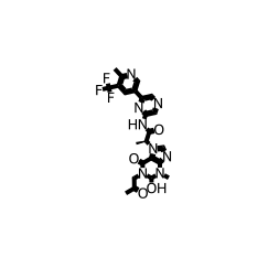 CC(=O)CN1C(=O)c2c(ncn2[C@@H](C)C(=O)Nc2cncc(-c3cnc(C)c(C(F)(F)F)c3)n2)N(C)C1O